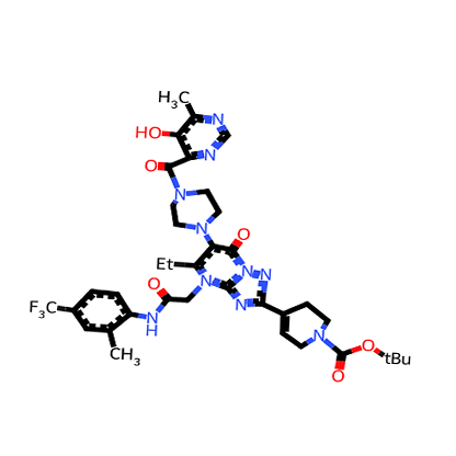 CCc1c(N2CCN(C(=O)c3ncnc(C)c3O)CC2)c(=O)n2nc(C3=CCN(C(=O)OC(C)(C)C)CC3)nc2n1CC(=O)Nc1ccc(C(F)(F)F)cc1C